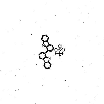 O=S(=O)(O)C(F)(F)F.c1ccc2c(c1)N=c1c-2cccc1=c1cccc2c1=Nc1ccccc1-2